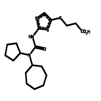 O=C(O)CCSc1cnc(NC(=O)N(C2CCCCCC2)C2CCCC2)s1